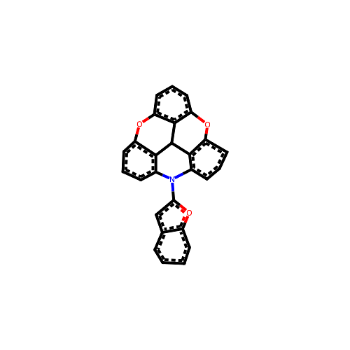 c1cc2c3c(c1)Oc1cccc4c1C3c1c(cccc1N4c1cc3ccccc3o1)O2